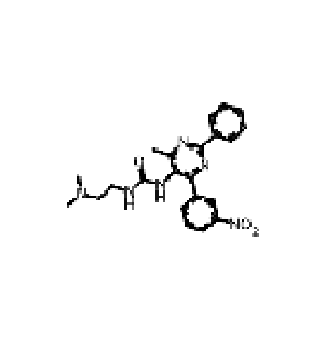 Cc1nc(-c2ccccc2)nc(-c2cccc([N+](=O)[O-])c2)c1NC(=O)NCCN(C)C